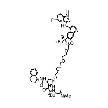 CN[C@@H](C)CN[C@H](C(=O)N1C[C@@H](OCCOCCOCCOCCOc2cc3nccc(Nc4n[nH]c5ccc(F)cc45)c3cc2S(=O)(=O)C(C)(C)C)C[C@H]1C(=O)N[C@@H]1CCCc2ccccc21)C(C)(C)C